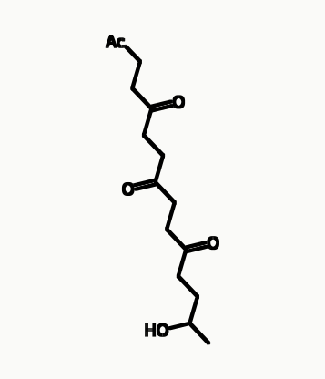 CC(=O)CCC(=O)CCC(=O)CCC(=O)CCC(C)O